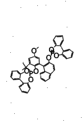 COc1cc(-c2c(Op3oc4ccccc4c4ccccc4o3)ccc3ccccc23)c(Op2oc3ccccc3c3ccccc3o2)c(C(C)(C)C)c1